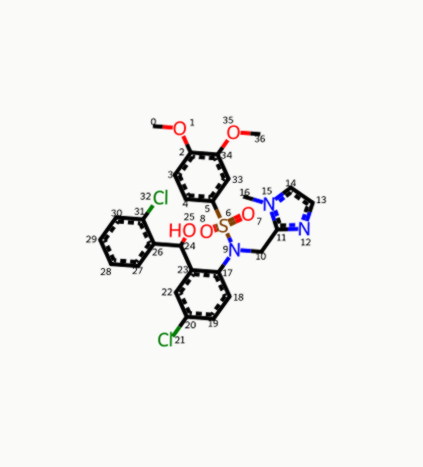 COc1ccc(S(=O)(=O)N(Cc2nccn2C)c2ccc(Cl)cc2C(O)c2ccccc2Cl)cc1OC